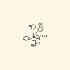 CC(C)(C)NC1=CC(N2CCOCC2)Nn2c1nc(CO)c2Cc1cccc(C(F)(F)F)c1C1CCNCC1